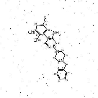 Nc1nc(N2CCN(Cc3ccccc3)CC2)ncc1-c1cc(Cl)cc(Cl)c1Cl